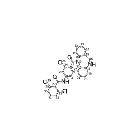 O=C(Nc1ccc(C(=O)N2c3ccccc3CNc3ccccc32)c(Cl)c1)c1c(Cl)cccc1Cl